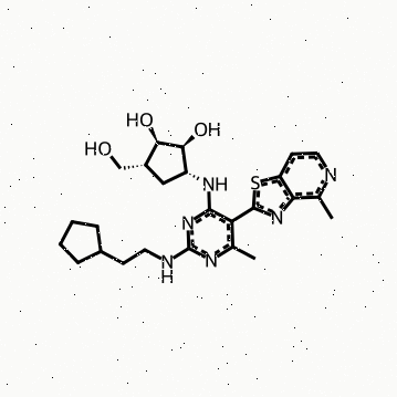 Cc1nc(NCCC2CCCC2)nc(N[C@@H]2C[C@H](CO)[C@@H](O)[C@H]2O)c1-c1nc2c(C)nccc2s1